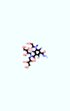 CN(C(=O)CO)c1c(I)c(C(N)=O)c(I)c(C(=O)N(CC(O)C(O)CO)CC(O)C(O)CO)c1I